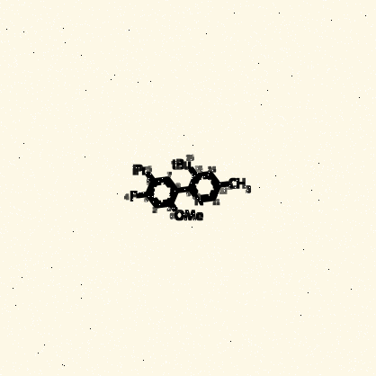 COc1cc(F)c(C(C)C)cc1-c1ncc(C)cc1C(C)(C)C